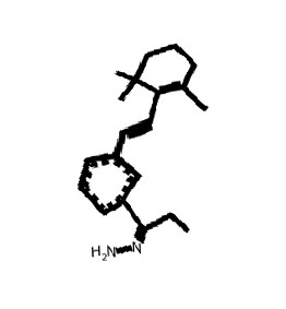 CC/C(=N/N)c1cccc(/C=C/C2=C(C)CCCC2(C)C)c1